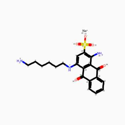 NCCCCCCNc1cc(S(=O)(=O)[O-])c(N)c2c1C(=O)c1ccccc1C2=O.[Na+]